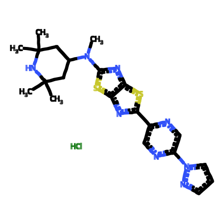 CN(c1nc2sc(-c3cnc(-n4cccn4)cn3)nc2s1)C1CC(C)(C)NC(C)(C)C1.Cl